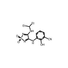 CCC(CC)NC1=NS(=O)(=O)N=C1Nc1cccc(C#N)c1O